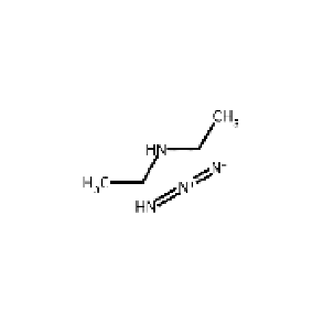 CCNCC.[N-]=[N+]=N